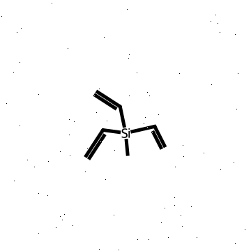 C=C[Si](C)(C=C)C=C